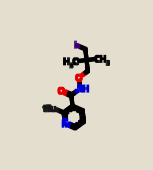 CC(C)(CI)CONC(=O)c1cccnc1C(C)(C)C